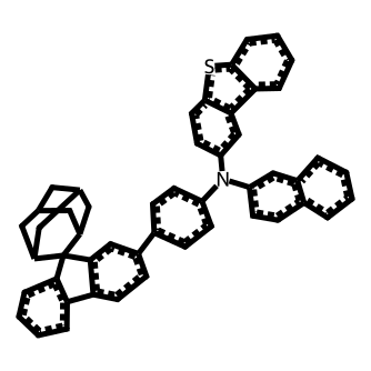 c1ccc2c(c1)-c1ccc(-c3ccc(N(c4ccc5ccccc5c4)c4ccc5sc6ccccc6c5c4)cc3)cc1C21C2CC3CC(C2)CC1C3